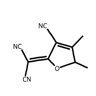 CC1=C(C#N)C(=C(C#N)C#N)OC1C